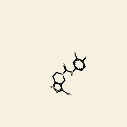 CC(C)(C)c1n[nH]c2c1CN(C(=O)Nc1ccc(F)c(Br)c1)CC2